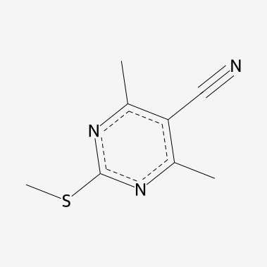 CSc1nc(C)c(C#N)c(C)n1